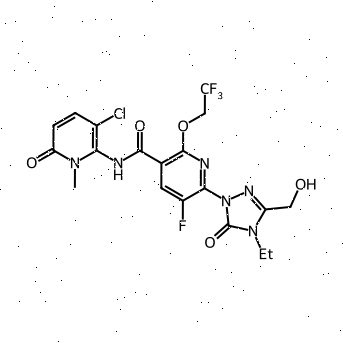 CCn1c(CO)nn(-c2nc(OCC(F)(F)F)c(C(=O)Nc3c(Cl)ccc(=O)n3C)cc2F)c1=O